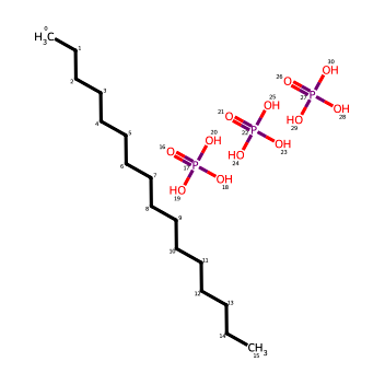 CCCCCCCCCCCCCCCC.O=P(O)(O)O.O=P(O)(O)O.O=P(O)(O)O